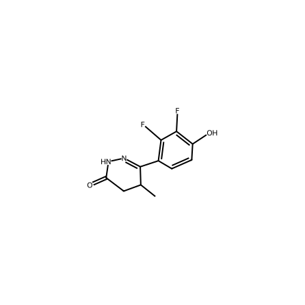 CC1CC(=O)NN=C1c1ccc(O)c(F)c1F